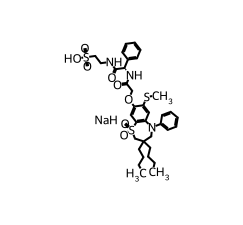 CCCCC1(CCCC)CN(c2ccccc2)c2cc(SC)c(OCC(=O)N[C@H](C(=O)NCCS(=O)(=O)O)c3ccccc3)cc2S(=O)(=O)C1.[NaH]